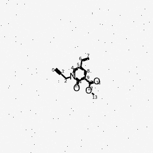 C#CCn1cc(C=C)cc(C(=O)OC)c1=O